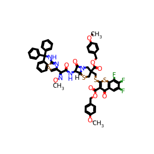 CON=C(C(=O)NC1C(=O)N2CC(CSc3sc4c(F)c(F)c(F)cc4c(=O)c3C(=O)OCc3ccc(OC)cc3)(C(=O)OCc3ccc(OC)cc3)CS[C@H]12)c1csc(NC(c2ccccc2)(c2ccccc2)c2ccccc2)n1